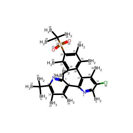 Bc1nc(-c2c(B)nc(C(B)(B)B)c(B)c2B)c(-c2c(B)c(B)c(S(=O)(=O)C(B)(B)B)c(B)c2B)c(B)c1Cl